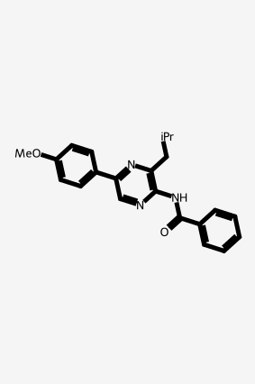 COc1ccc(-c2cnc(NC(=O)c3ccccc3)c(CC(C)C)n2)cc1